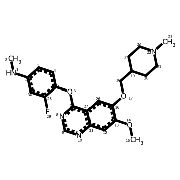 CNc1ccc(Oc2ncnc3cc(OC)c(OCC4CCN(C)CC4)cc23)c(F)c1